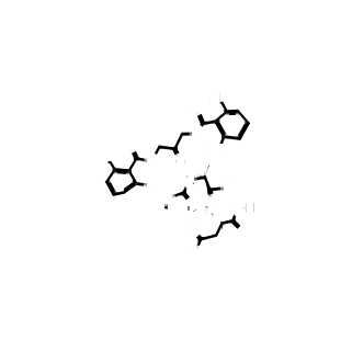 COC(=O)N[C@@H](C)C(=O)O.N[C@@H](CC(=O)O)C(=O)O.O=C(COC(=O)c1c(Cl)cccc1Cl)COC(=O)c1c(Cl)cccc1Cl